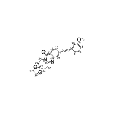 COc1cccc(C#Cc2ccc3c(=O)n4c(nc3c2)CCC2(CC4)OCCO2)c1